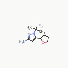 CC(C)(C)n1nc(N)cc1C1CCCO1